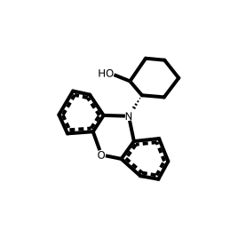 OC1CCCC[C@@H]1N1c2ccccc2Oc2ccccc21